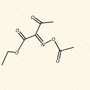 CCOC(=O)C(=NOC(C)=O)C(C)=O